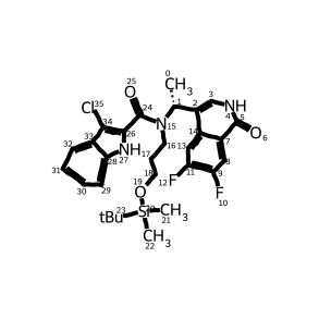 C[C@H](c1c[nH]c(=O)c2cc(F)c(F)cc12)N(CCCO[Si](C)(C)C(C)(C)C)C(=O)c1[nH]c2ccccc2c1Cl